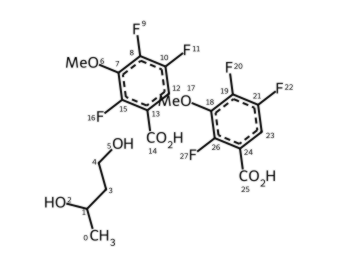 CC(O)CCO.COc1c(F)c(F)cc(C(=O)O)c1F.COc1c(F)c(F)cc(C(=O)O)c1F